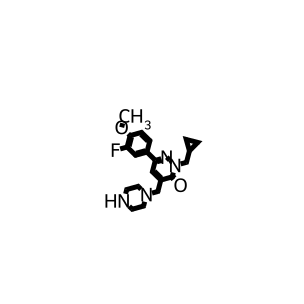 COc1ccc(-c2cc(CN3CCNCC3)c(=O)n(CC3CC3)n2)cc1F